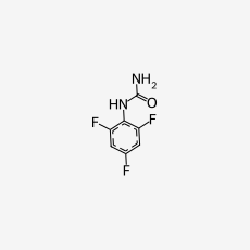 NC(=O)Nc1c(F)cc(F)cc1F